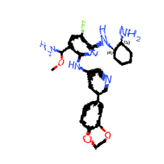 COC(N)c1cc(F)c(N[C@@H]2CCCC[C@@H]2N)nc1Nc1cncc(-c2ccc3c(c2)OCCO3)c1